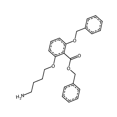 NCCCCOc1cccc(OCc2ccccc2)c1C(=O)OCc1ccccc1